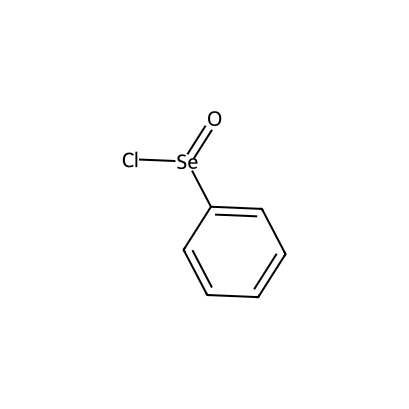 O=[Se](Cl)c1ccccc1